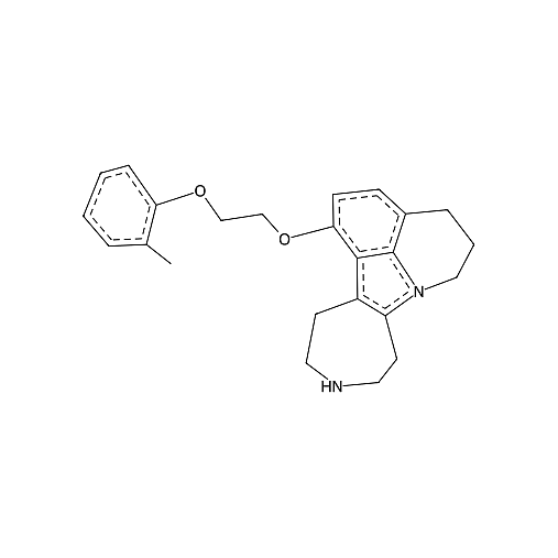 Cc1ccccc1OCCOc1ccc2c3c1c1c(n3CCC2)CCNCC1